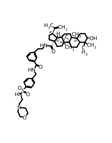 C=C(C)[C@@H]1CC[C@]2(C(=O)NCCc3cccc(C(=O)NCc4ccc(S(=O)(=O)NCCN5CCOCC5)cc4)c3)CC[C@]3(C)C(CCC4[C@@]5(C)CC[C@H](O)C(C)(C)C5CC[C@]43C)[C@@H]12